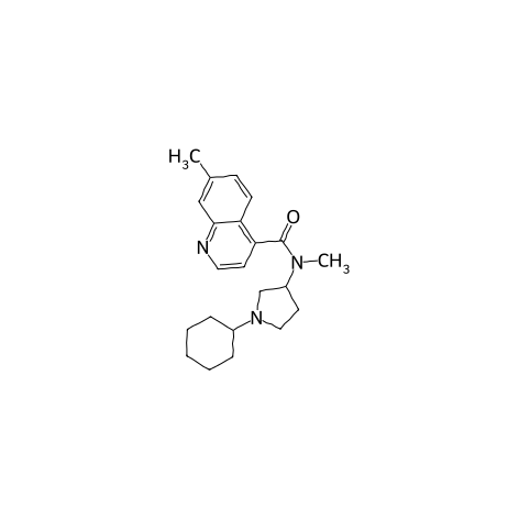 Cc1ccc2c(C(=O)N(C)C3CCN(C4CCCCC4)C3)ccnc2c1